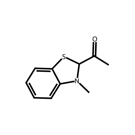 CC(=O)C1Sc2ccccc2N1C